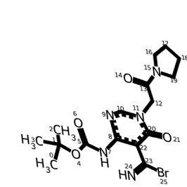 CC(C)(C)OC(=O)Nc1ncn(CC(=O)N2CCCC2)c(=O)c1C(=N)Br